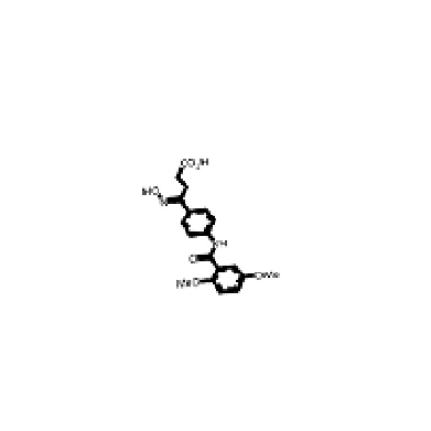 COc1ccc(OC)c(C(=O)Nc2ccc(C(CCC(=O)O)=NO)cc2)c1